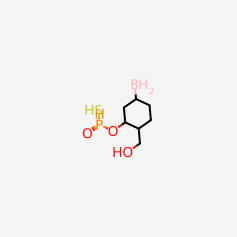 BC1CCC(CO)C(O[PH](=O)S)C1